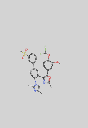 COc1cc(-c2oc(C)nc2-c2cc(-c3cccc(S(C)(=O)=O)c3)ccc2-n2cc(C)nc2C)ccc1OC(F)F